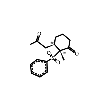 CC(=O)C[C@H]1CCCC(=O)[C@]1(C)S(=O)(=O)c1ccccc1